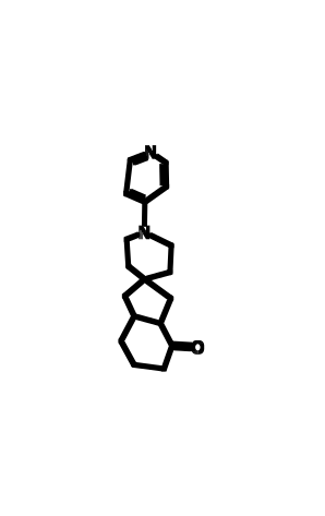 O=C1CCCC2CC3(CCN(c4ccncc4)CC3)CC12